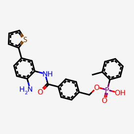 Cc1ccccc1P(=O)(O)OCc1ccc(C(=O)Nc2cc(-c3cccs3)ccc2N)cc1